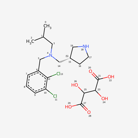 CC(C)CN(Cc1cccc(Cl)c1Cl)C[C@H]1CCNC1.O=C(O)C(O)C(O)C(=O)O